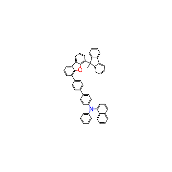 CC1(c2cccc3c2oc2c(-c4ccc(-c5ccc(N(c6ccccc6)c6cccc7ccccc67)cc5)cc4)cccc23)c2ccccc2-c2ccccc21